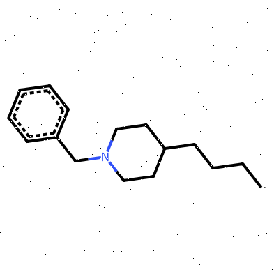 [CH2]CCCC1CCN(Cc2ccccc2)CC1